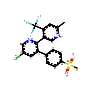 Cc1cc(C(F)(F)F)c(-c2ncc(Cl)cc2-c2ccc(S(C)(=O)=O)cc2)cn1